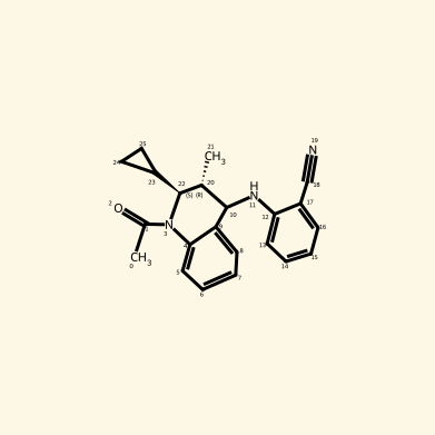 CC(=O)N1c2ccccc2C(Nc2ccccc2C#N)[C@@H](C)[C@@H]1C1CC1